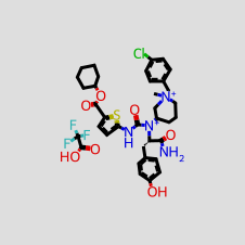 C[N+]1(Cc2ccc(Cl)cc2)CCC/C(=[N+](/C(=O)Nc2ccc(C(=O)OC3CCCCC3)s2)[C@@H](Cc2ccc(O)cc2)C(N)=O)C1.O=C(O)C(F)(F)F